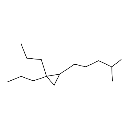 CCCC1(CCC)CC1CCCC(C)C